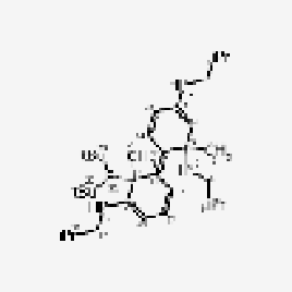 CC(C)CPC1=CC(C)(PCC(C)C)C(=C2C=CC=C(PCC(C)C)C2(C)P(C(C)(C)C)C(C)(C)C)C=C1